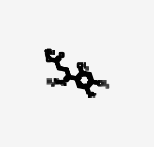 Cc1cc(C)c(C(C)C)cc1/C(CCC(=O)OC(C)(C)C)=N/N